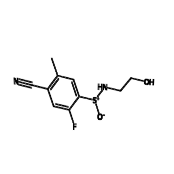 Cc1cc([S+]([O-])NCCO)c(F)cc1C#N